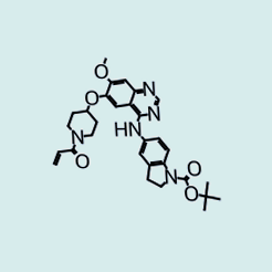 C=CC(=O)N1CCC(Oc2cc3c(Nc4ccc5c(c4)CCN5C(=O)OC(C)(C)C)ncnc3cc2OC)CC1